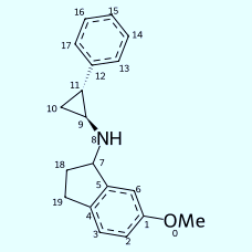 COc1ccc2c(c1)C(N[C@H]1C[C@@H]1c1ccccc1)CC2